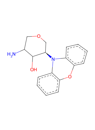 NC1COC[C@@H](N2c3ccccc3Oc3ccccc32)C1O